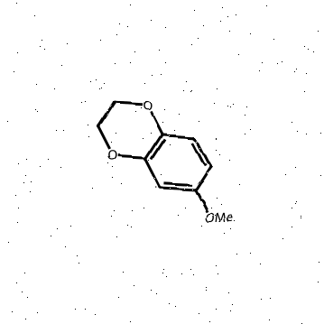 COc1[c]c2c(cc1)OCCO2